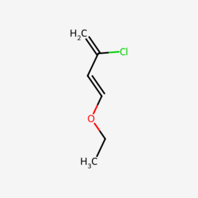 C=C(Cl)C=COCC